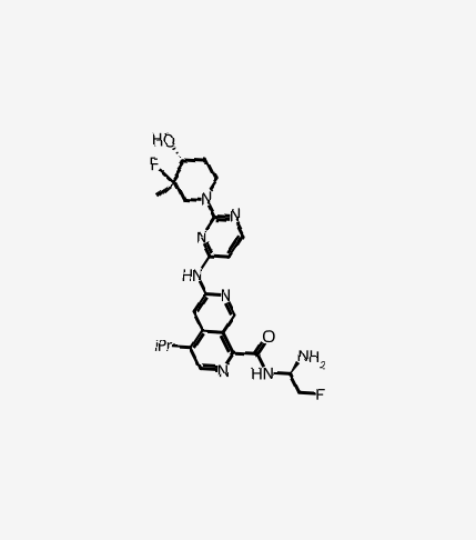 CC(C)c1cnc(C(=O)N[C@@H](N)CF)c2cnc(Nc3ccnc(N4CC[C@@H](O)[C@@](C)(F)C4)n3)cc12